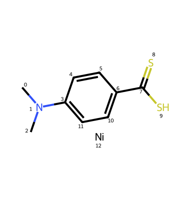 CN(C)c1ccc(C(=S)S)cc1.[Ni]